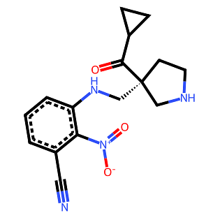 N#Cc1cccc(NC[C@]2(C(=O)C3CC3)CCNC2)c1[N+](=O)[O-]